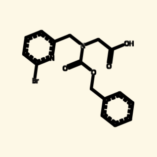 O=C(O)CN(Cc1cccc(Br)n1)C(=O)OCc1ccccc1